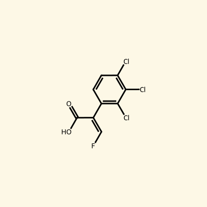 O=C(O)/C(=C\F)c1ccc(Cl)c(Cl)c1Cl